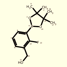 CC1(C)OB(c2cccc(CO)c2F)OC1(C)C